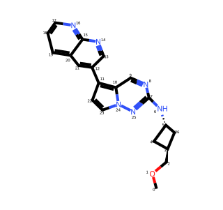 COC[C@H]1C[C@H](Nc2ncc3c(-c4cnc5ncccc5c4)ccn3n2)C1